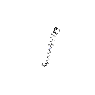 CCCCCCCC/C=C/CCCCCCCC(=O)OC